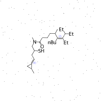 CCCC/C(=C(\CC)C(CC)CC)C(C)CCCC(=O)N(C)CC(S)C/C=C1\CC1C